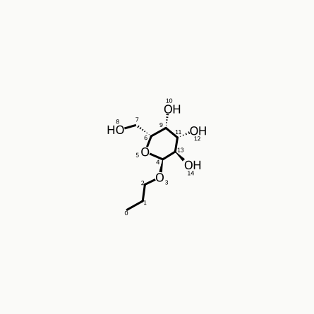 CCCO[C@H]1O[C@H](CO)[C@H](O)[C@H](O)[C@H]1O